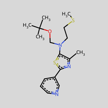 CSCCN(COC(C)(C)C)c1sc(-c2cccnc2)nc1C